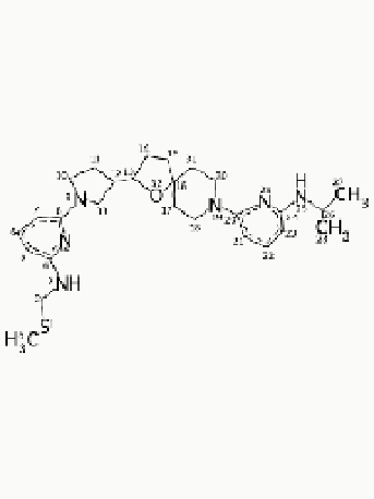 CSCNc1cccc(N2CCC(C3CCC4(CCN(c5cccc(NC(C)C)n5)CC4)O3)C2)n1